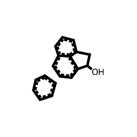 OC1Cc2cccc3cccc1c23.c1ccccc1